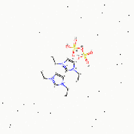 CCn1cc[n+](CC)c1.CCn1cc[n+](CC)c1.O=S(=O)([O-])OS(=O)(=O)[O-]